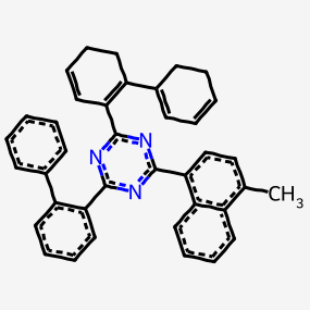 Cc1ccc(-c2nc(C3=C(C4=CC=CCC4)CCC=C3)nc(-c3ccccc3-c3ccccc3)n2)c2ccccc12